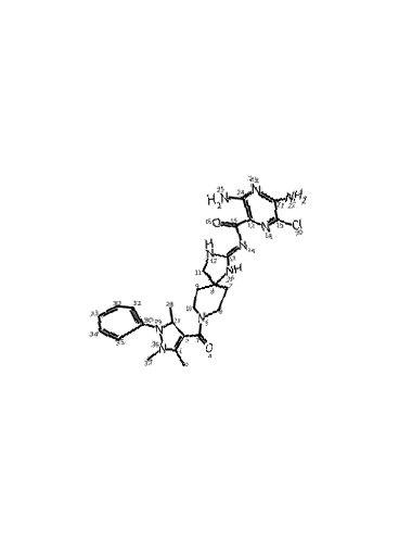 CC1=C(C(=O)N2CCC3(CC2)CN/C(=N\C(=O)c2nc(Cl)c(N)nc2N)N3)C(C)N(c2ccccc2)N1C